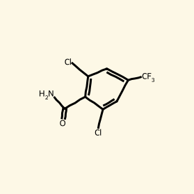 NC(=O)c1c(Cl)cc(C(F)(F)F)cc1Cl